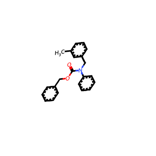 Cc1cccc(CN(C(=O)OCc2ccccc2)c2ccccc2)c1